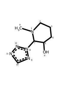 CN1CCCC(O)C1n1ncnn1